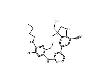 COCCNc1nc(OC)c(Nc2nccc(-c3cc(C#N)c4c(c3)[C@](C)(CO)CN4)n2)cc1Cl